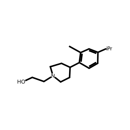 Cc1cc(C(C)C)ccc1C1CCN(CCO)CC1